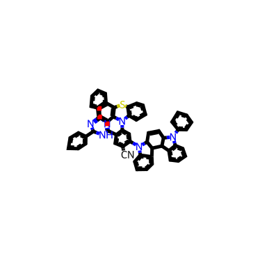 N#Cc1cc(C2=NC(c3ccccc3)=NC(c3ccccc3)N2)c(N2C3=C(CCC=C3)Sc3ccccc32)cc1N1c2ccccc2C2C3c4ccccc4N(c4ccccc4)C3C=CC21